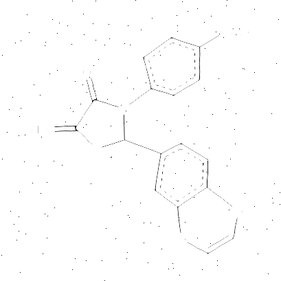 C=C1SC(c2ccc3c(c2)OC=CO3)N(c2ccc(OC)cc2)C1=O